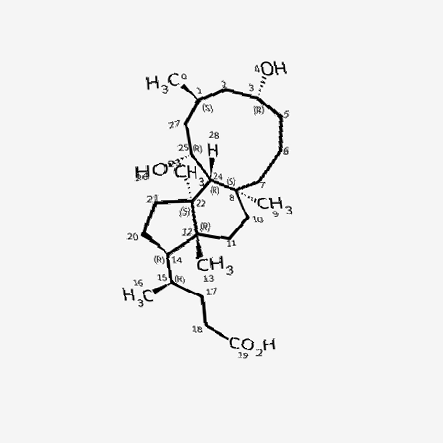 C[C@H]1C[C@H](O)CCC[C@@]2(C)CC[C@]3(C)[C@@H]([C@H](C)CCC(=O)O)CC[C@@]3(C)[C@@H]2[C@H](O)C1